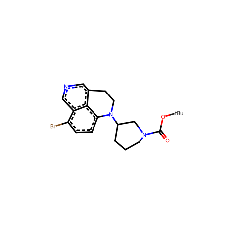 CC(C)(C)OC(=O)N1CCCC(N2CCc3cncc4c(Br)ccc2c34)C1